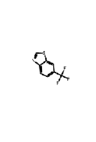 FC(F)(F)c1ccc2ncsc2c1